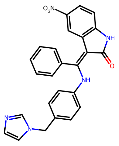 O=C1Nc2ccc([N+](=O)[O-])cc2C1=C(Nc1ccc(Cn2ccnc2)cc1)c1ccccc1